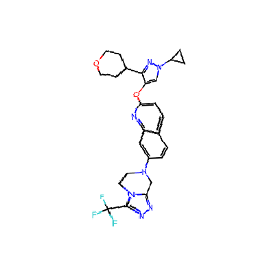 FC(F)(F)c1nnc2n1CCN(c1ccc3ccc(Oc4cn(C5CC5)nc4C4CCOCC4)nc3c1)C2